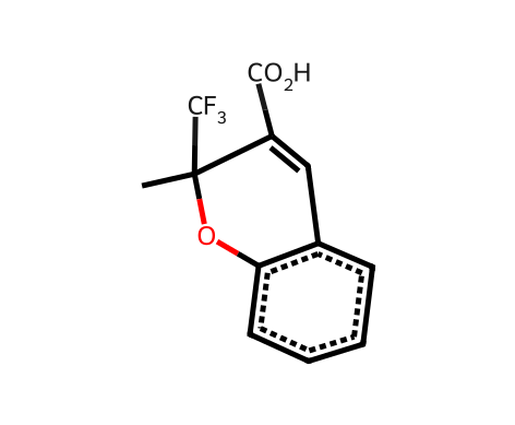 CC1(C(F)(F)F)Oc2ccccc2C=C1C(=O)O